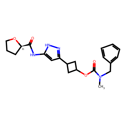 CN(Cc1ccccc1)C(=O)OC1CC(c2cc(NC(=O)[C@H]3CCCO3)[nH]n2)C1